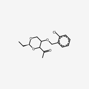 CC[C@H]1OCC(OCc2ccccc2Cl)C(C(C)=O)O1